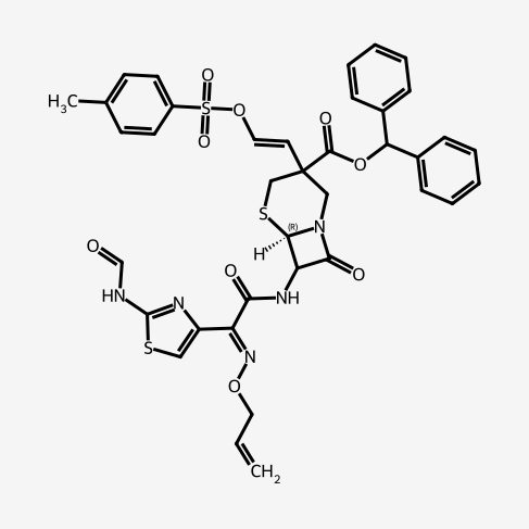 C=CCON=C(C(=O)NC1C(=O)N2CC(C=COS(=O)(=O)c3ccc(C)cc3)(C(=O)OC(c3ccccc3)c3ccccc3)CS[C@H]12)c1csc(NC=O)n1